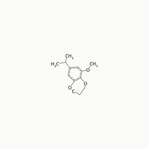 COc1cc(C(C)C)cc2c1OCCCO2